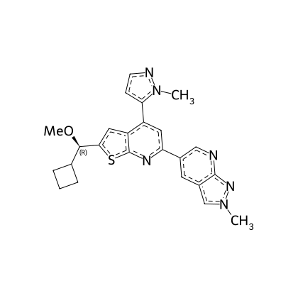 CO[C@@H](c1cc2c(-c3ccnn3C)cc(-c3cnc4nn(C)cc4c3)nc2s1)C1CCC1